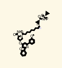 COc1cccc(-c2cc(O[C@@H]3C[C@@H](C(N)=O)N(C(=O)CCCCCC/C=C\[C@@H]4C[C@@H]4C(=O)NS(=O)(=O)C4CC4)C3)c3oc4ccccc4c3n2)c1